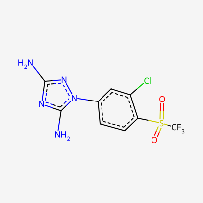 Nc1nc(N)n(-c2ccc(S(=O)(=O)C(F)(F)F)c(Cl)c2)n1